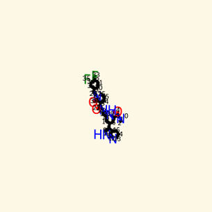 CN(C)C(=O)c1cc(-c2c[nH]c3ncccc23)cc(CNC(=O)c2cccn(Cc3ccc(F)c(F)c3)c2=O)n1